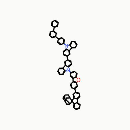 c1ccc(-c2cccc(-c3ccc(-n4c5ccccc5c5cc(-c6ccc7c(c6)c6ccccc6n7-c6ccc7oc8cc(-c9ccc%10c(c9)C9(c%11ccccc%11-%10)C%10CC%11CC(C%10)CC9C%11)ccc8c7c6)ccc54)cc3)c2)cc1